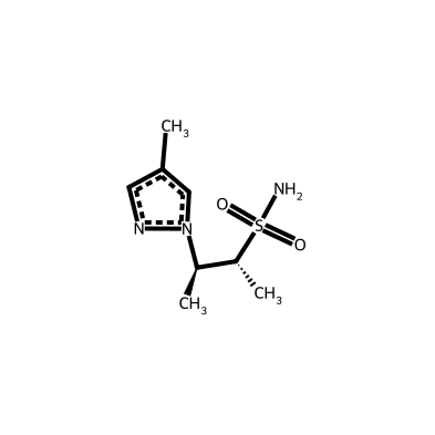 Cc1cnn([C@H](C)[C@@H](C)S(N)(=O)=O)c1